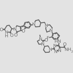 CN1CCN([C@@H]2CCCN(c3nnc(C(N)=O)c(Nc4ccc(N5CCN(CC6CCN(c7ccc8c9c(oc8c7)C(=O)N(C7CCC(=O)NC7=O)C9)CC6)CC5)c(F)c4)n3)C2)C1=O